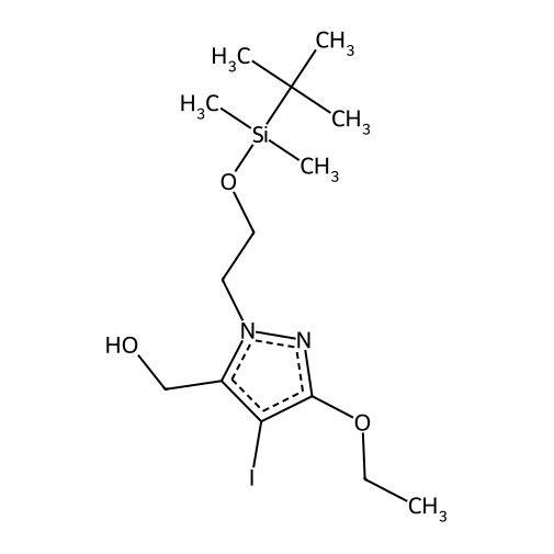 CCOc1nn(CCO[Si](C)(C)C(C)(C)C)c(CO)c1I